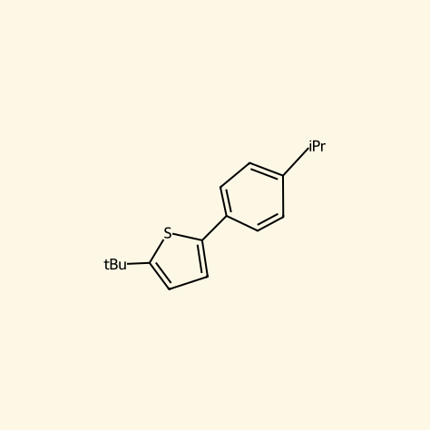 CC(C)c1ccc(-c2ccc(C(C)(C)C)s2)cc1